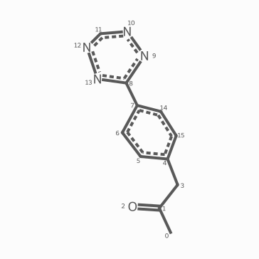 CC(=O)Cc1ccc(-c2nncnn2)cc1